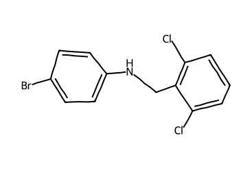 Clc1cccc(Cl)c1CNc1ccc(Br)cc1